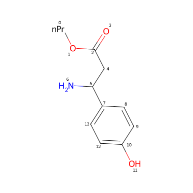 CCCOC(=O)CC(N)c1ccc(O)cc1